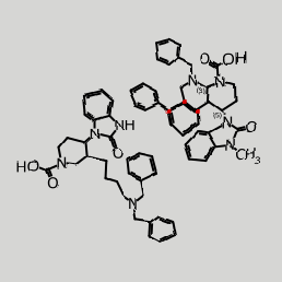 Cn1c(=O)n([C@H]2CCN(C(=O)O)[C@H](N(Cc3ccccc3)Cc3ccccc3)C2CCCc2ccccc2)c2ccccc21.O=C(O)N1CCC(n2c(=O)[nH]c3ccccc32)C(CCCCN(Cc2ccccc2)Cc2ccccc2)C1